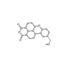 O=c1oc(=O)c2ccc3c4cc(CO)ccc4oc4ccc1c2c43